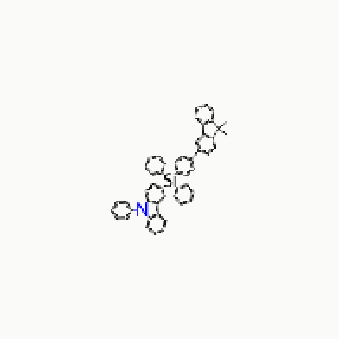 CC1(C)c2ccccc2-c2cc(-c3ccc([Si](c4ccccc4)(c4ccccc4)c4ccc5c(c4)c4ccccc4n5-c4ccccc4)cc3)ccc21